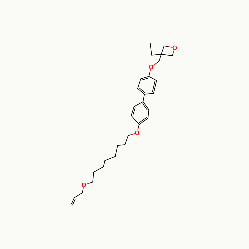 C=CCOCCCCCCCCOc1ccc(-c2ccc(OCC3(CC)COC3)cc2)cc1